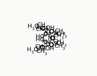 C[Si](C)(C)c1ccc(C(O)(c2ccc([Si](C)(C)C)cc2)[C@@H]2C[C@@H](O)CN2Cc2cccc(CN3C[C@H](O)C[C@H]3C(O)(c3ccc([Si](C)(C)C)cc3)c3ccc([Si](C)(C)C)cc3)n2)cc1